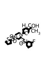 CC(C)(O)c1ccc(N2CCN(S(=O)(=O)c3cccs3)C[C@@H]2C[S@@+]([O-])c2cccc(F)c2)cc1